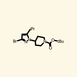 CC(C)c1cc(Br)nn1C1CCN(C(=O)OC(C)(C)C)CC1